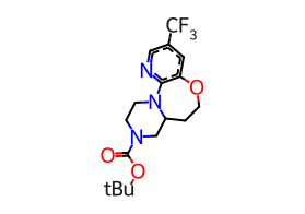 CC(C)(C)OC(=O)N1CCN2c3ncc(C(F)(F)F)cc3OCCC2C1